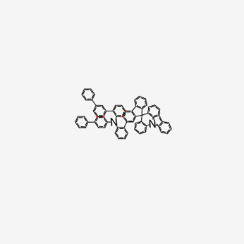 c1ccc(-c2ccc(N(c3ccccc3-c3cccc(-c4ccccc4)c3)c3ccccc3-c3ccc4c(c3)C3(c5ccccc5-4)c4ccccc4-n4c5ccccc5c5cccc3c54)cc2)cc1